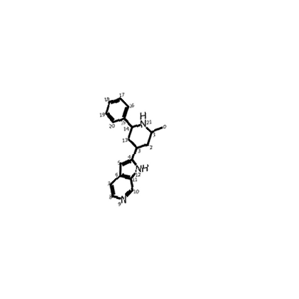 CC1CC(c2cc3ccncc3[nH]2)CC(c2ccccc2)N1